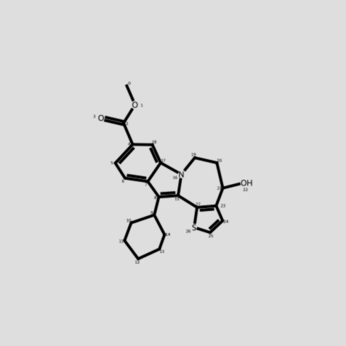 COC(=O)c1ccc2c(C3CCCCC3)c3n(c2c1)CCC(O)c1ccsc1-3